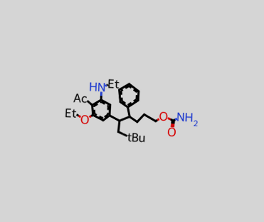 CCNc1cc(C(CC(C)(C)C)C(CCCOC(N)=O)c2ccccc2)cc(OCC)c1C(C)=O